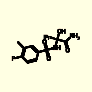 Cc1cc(S(=O)(=O)N[C@](O)(C(N)=O)C(C)C)ccc1F